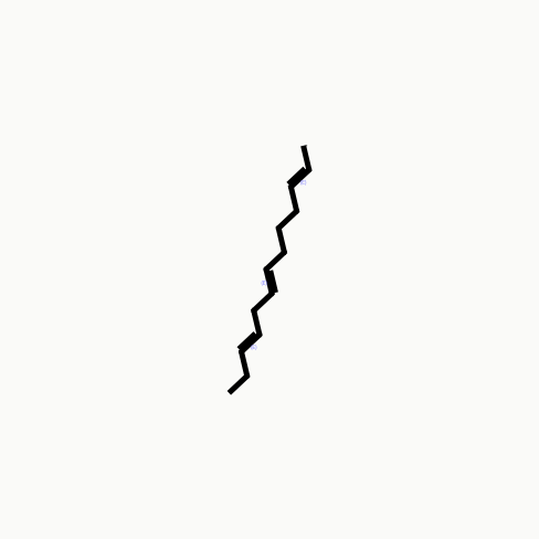 [CH2]/C=C/CCC/C=C/C/C=C/CC